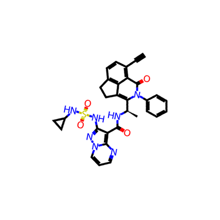 C#Cc1ccc2c3c(c([C@@H](C)NC(=O)c4c(NS(=O)(=O)NC5CC5)nn5cccnc45)n(-c4ccccc4)c(=O)c13)CC2